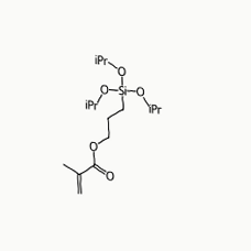 C=C(C)C(=O)OCCC[Si](OC(C)C)(OC(C)C)OC(C)C